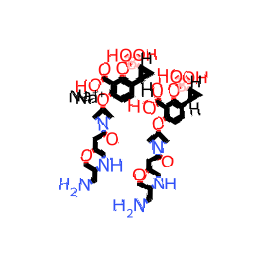 NCC1COC(CC(=O)N2CC(Oc3ccc4c(c3C(=O)O)O[B-](O)(O)[C@@H]3C[C@H]43)C2)CN1.NCC1COC(CC(=O)N2CC(Oc3ccc4c(c3C(=O)O)O[B-](O)(O)[C@@H]3C[C@H]43)C2)CN1.[Na+].[Na+]